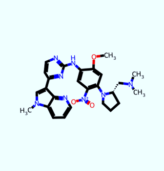 COc1cc(N2CCC[C@H]2CN(C)C)c([N+](=O)[O-])cc1Nc1nccc(-c2cn(C)c3cccnc23)n1